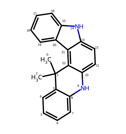 CC1(C)c2ccccc2Nc2ccc3[nH]c4ccccc4c3c21